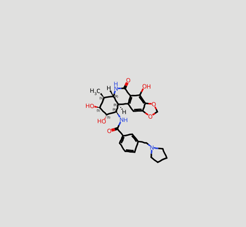 C[C@@H]1[C@H](O)[C@@H](O)[C@H](NC(=O)c2cccc(CN3CCCC3)c2)[C@@H]2c3cc4c(c(O)c3C(=O)N[C@@H]12)OCO4